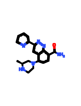 C[C@H]1CN(c2ccc(C(N)=O)c3nnc(-c4ccccn4)cc23)CCN1